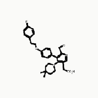 CC1(C)CCN(c2c(CC(=O)O)cnc(CCl)c2-c2ccc(OCCc3ccc(F)cc3)cc2)CC1